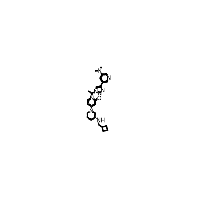 CC(n1cc(-c2cncc(N(C)C)c2)nn1)n1ccc(N2CCC[C@@H](NCC3CCC3)C2)cc1=O